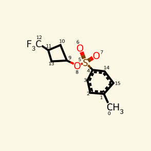 Cc1ccc(S(=O)(=O)OC2CC(C(F)(F)F)C2)cc1